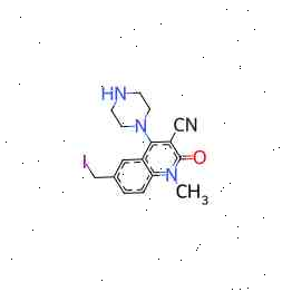 Cn1c(=O)c(C#N)c(N2CCNCC2)c2cc(CI)ccc21